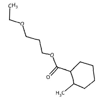 CCOCCCOC(=O)C1CCCCC1C